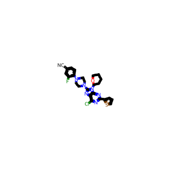 N#Cc1ccc(N2CCN(c3nc4c(Cl)nc(-c5cccs5)nc4n3C3CCCCO3)CC2)c(F)c1